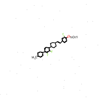 CCCCCCCCOc1ccc(/C=C/C2CCC(c3ccc(-c4ccc(C)cc4)c(F)c3F)CC2)cc1F